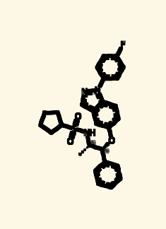 C[C@H](NS(=O)(=O)C1CCCC1)[C@@H](Oc1ccc2c(cnn2-c2ccc(F)cc2)c1)c1ccccc1